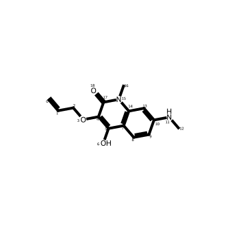 C=CCOc1c(O)c2ccc(NC)cc2n(C)c1=O